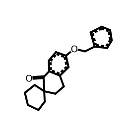 O=C1c2ccc(OCc3ccccc3)cc2CCC12CCCCC2